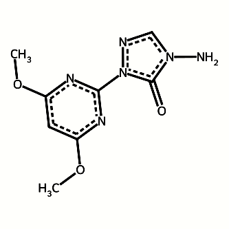 COc1cc(OC)nc(-n2ncn(N)c2=O)n1